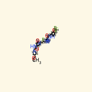 COCC1CCN(CC(=O)Nc2ccn(CCC(F)Cn3cc(C(=O)NCc4cccc(OC(F)(F)F)c4)nn3)c(=O)c2)CC1